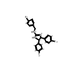 Fc1ccc(CNC2=NC(c3ccc(F)cc3)C(c3ccc(F)cc3)N2)cc1